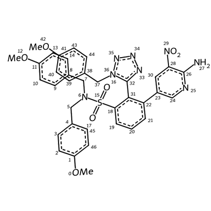 COc1ccc(CN(Cc2ccc(OC)cc2)S(=O)(=O)c2cccc(-c3cnc(N)c([N+](=O)[O-])c3)c2-c2nnnn2Cc2ccc(OC)cc2)cc1